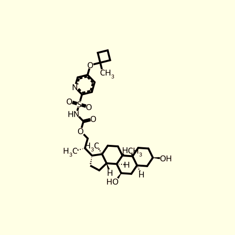 C[C@H](COC(=O)NS(=O)(=O)c1ccc(OC2(C)CCC2)cn1)[C@H]1CC[C@H]2[C@@H]3[C@H](O)C[C@@H]4C[C@H](O)CC[C@]4(C)[C@H]3CC[C@]12C